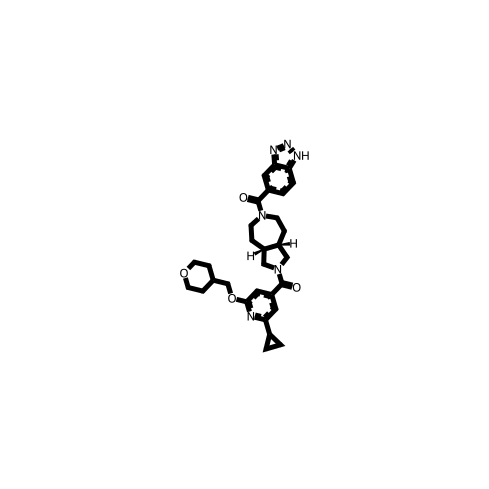 O=C(c1ccc2[nH]nnc2c1)N1CC[C@@H]2CN(C(=O)c3cc(OCC4CCOCC4)nc(C4CC4)c3)C[C@@H]2CC1